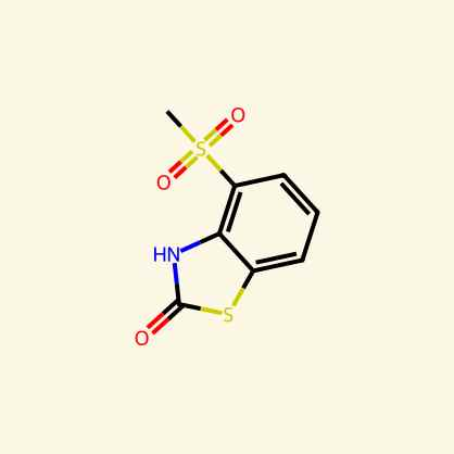 CS(=O)(=O)c1cccc2sc(=O)[nH]c12